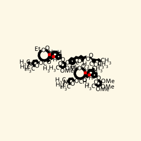 CC(C)=C[C@@H]1[C@@H](C(=O)OCc2coc(Cc3ccccc3)c2)C1(C)C.CC[C@H]1CCC[C@H](O[C@H]2CC[C@H](N(C)C)[C@@H](C)O2)[C@@H](C)C(=O)C2=C[C@@H]3[C@@H](C=C(C)[C@@H]4C[C@@H](O[C@@H]5O[C@@H](C)[C@H](OC)[C@@H](OC)[C@H]5OC)C[C@@H]34)[C@@H]2CC(=O)O1.CC[C@H]1CCC[C@H](O[C@H]2CC[C@H](N(C)C)[C@@H](C)O2)[C@@H](C)C(=O)C2=C[C@@H]3[C@@H](C=C[C@@H]4C[C@@H](O[C@@H]5O[C@@H](C)[C@H](OC)[C@@H](OC)[C@H]5OC)C[C@@H]34)[C@@H]2CC(=O)O1